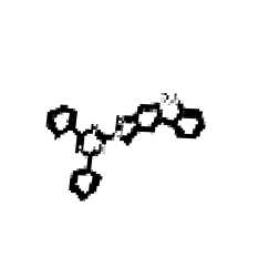 O=[N+]([O-])c1ccccc1-c1ccc2nn(-c3nc(-c4ccccc4)nc(-c4ccccc4)n3)cc2c1